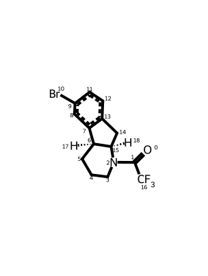 O=C(N1CCC[C@H]2c3cc(Br)ccc3C[C@H]21)C(F)(F)F